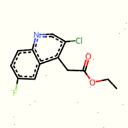 CCOC(=O)Cc1c(Cl)cnc2ccc(F)cc12